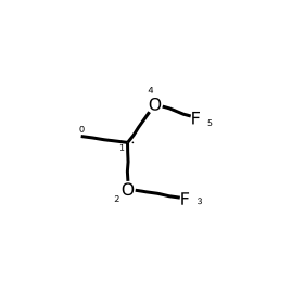 C[C](OF)OF